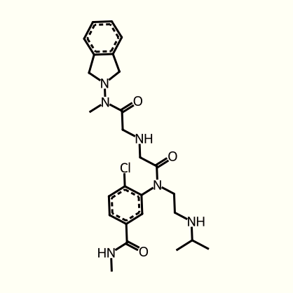 CNC(=O)c1ccc(Cl)c(N(CCNC(C)C)C(=O)CNCC(=O)N(C)N2Cc3ccccc3C2)c1